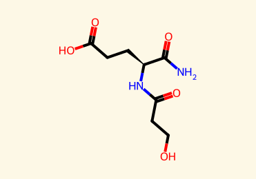 NC(=O)[C@H](CCC(=O)O)NC(=O)CCO